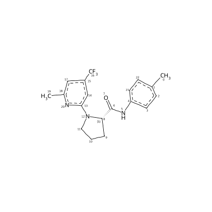 Cc1ccc(NC(=O)[C@@H]2CCCN2c2cc(C(F)(F)F)cc(C)n2)cc1